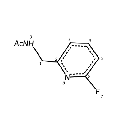 CC(=O)NCc1cccc(F)n1